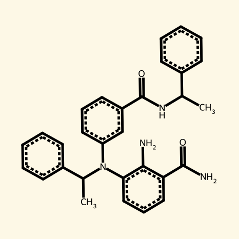 CC(NC(=O)c1cccc(N(c2cccc(C(N)=O)c2N)C(C)c2ccccc2)c1)c1ccccc1